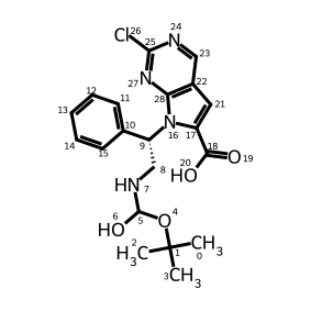 CC(C)(C)OC(O)NC[C@H](c1ccccc1)n1c(C(=O)O)cc2cnc(Cl)nc21